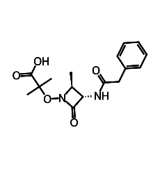 C[C@H]1[C@H](NC(=O)Cc2ccccc2)C(=O)N1OC(C)(C)C(=O)O